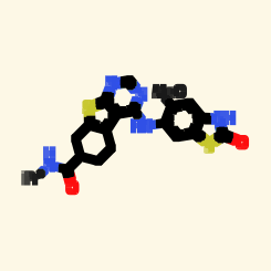 COc1cc2[nH]c(=O)sc2cc1Nc1ncnc2sc3c(c12)CCC(C(=O)NC(C)C)C3